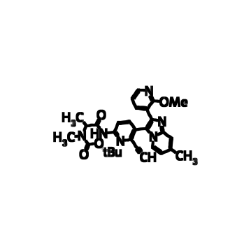 C#Cc1nc(NC(=O)C(C)N(C)C(=O)OC(C)(C)C)ccc1-c1c(-c2cccnc2OC)nc2cc(C)ccn12